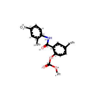 CCCc1ccc(OC(=O)OC(C)C)c(C(=O)Nc2ccc([N+](=O)[O-])cc2CCC)c1